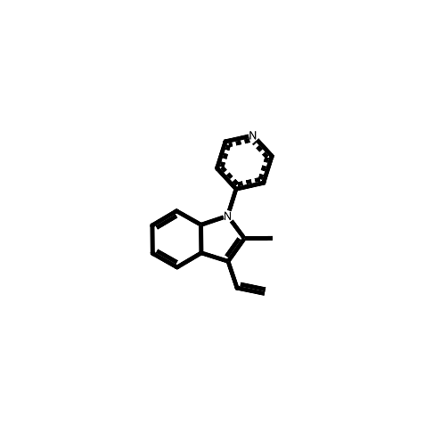 C=CC1=C(C)N(c2ccncc2)C2C=CC=CC12